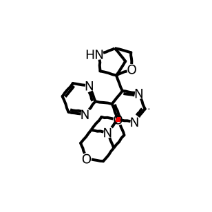 [c]1nc(N2C3COCC2COC3)c(-c2ncccn2)c(C23CNC(CO2)C3)n1